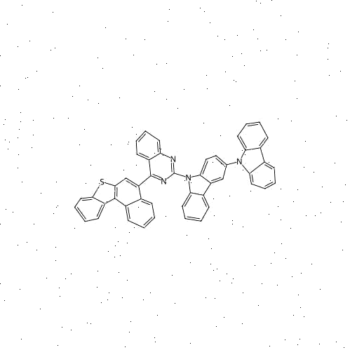 c1ccc2c(-c3cc4sc5ccccc5c4c4ccccc34)nc(-n3c4ccccc4c4cc(-n5c6ccccc6c6ccccc65)ccc43)nc2c1